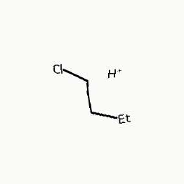 CCCCCl.[H+]